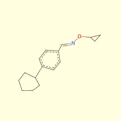 [C](=N\OC1CC1)/c1ccc(C2CCCCC2)cc1